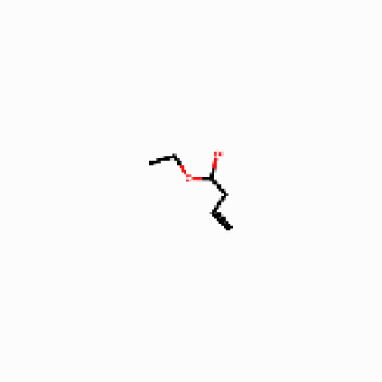 C=CCC(O)OCC